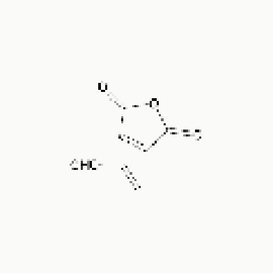 C=CC=O.O=C1C=CC(=O)O1